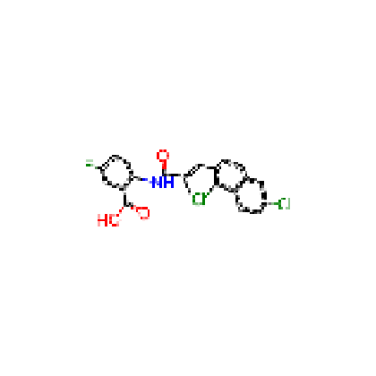 CC(=Cc1ccc2cc(Cl)ccc2c1Cl)C(=O)Nc1ccc(F)cc1C(=O)O